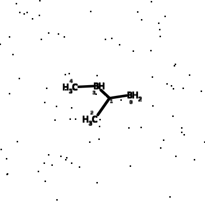 BC(C)BC